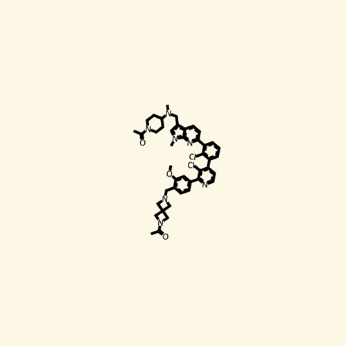 COc1cc(-c2nccc(-c3cccc(-c4ccc5c(CN(C)C6CCN(C(C)=O)CC6)cn(C)c5n4)c3Cl)c2Cl)ccc1CN1CC2(C1)CN(C(C)=O)C2